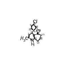 CC1=CC(c2ccc(Cl)cc2)C2=C(CCCC2=O)N1